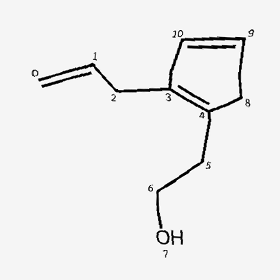 C=CCC1=C(CCO)CC=C1